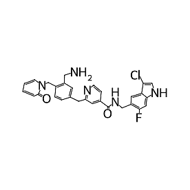 NCc1cc(Cc2cc(C(=O)NCc3cc4c(Cl)c[nH]c4cc3F)ccn2)ccc1Cn1ccccc1=O